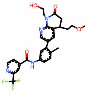 COCCC1CC(=O)N(CCO)c2ncc(-c3cc(NC(=O)c4ccnc(C(F)(F)F)c4)ccc3C)cc21